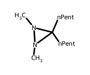 CCCCCC1(CCCCC)N(C)N1C